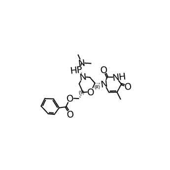 Cc1cn([C@H]2CN(PN(C)C)C[C@@H](COC(=O)c3ccccc3)O2)c(=O)[nH]c1=O